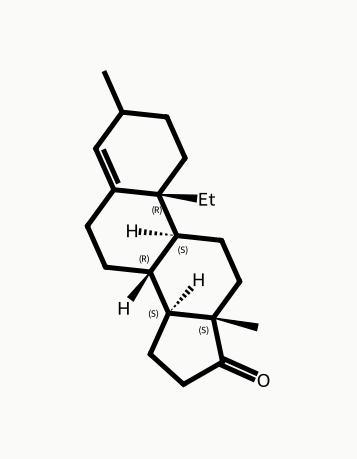 CC[C@]12CCC(C)C=C1CC[C@@H]1[C@@H]2CC[C@]2(C)C(=O)CC[C@@H]12